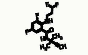 C#CC(C)(C)NC(=O)c1cc(F)cc(F)c1NCCC(F)F